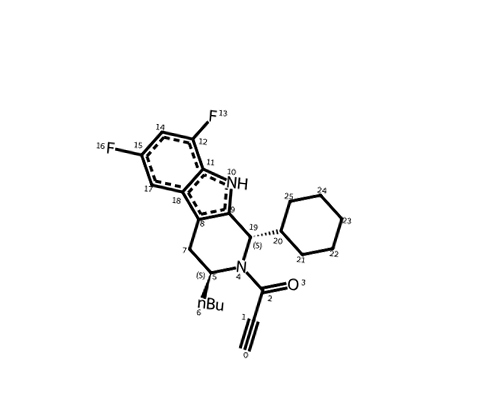 C#CC(=O)N1[C@@H](CCCC)Cc2c([nH]c3c(F)cc(F)cc23)[C@@H]1C1CCCCC1